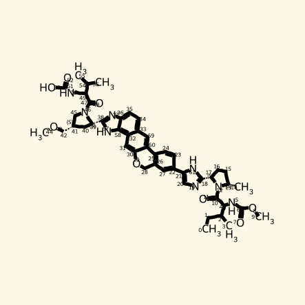 CCC(C)C(NC(=O)OC)C(=O)N1[C@@H](C)CC[C@H]1c1ncc(-c2ccc3c(c2)COc2cc4c(ccc5nc([C@@H]6C[C@H](COC)CN6C(=O)C(NC(=O)O)C(C)C)[nH]c54)cc2-3)[nH]1